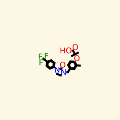 Cc1cc(CN2CCN(c3ccc(C(F)(F)F)cc3)C2=O)ccc1OC(C)(C)C(=O)O